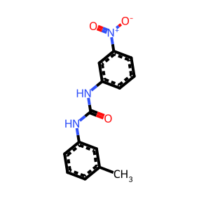 Cc1cccc(NC(=O)Nc2cccc([N+](=O)[O-])c2)c1